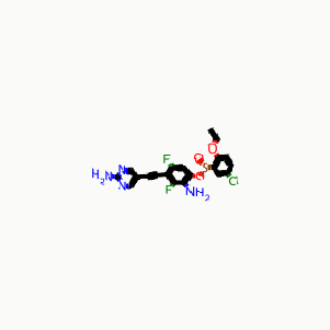 CCOc1ccc(Cl)cc1S(=O)Oc1cc(F)c(C#Cc2cnc(N)nc2)c(F)c1N